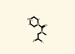 CN(CC(F)F)C(=O)N1CCNCC1